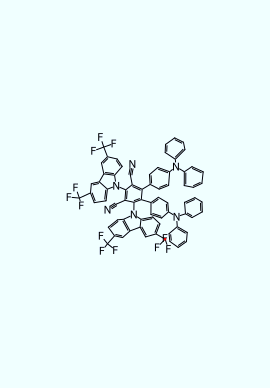 N#Cc1c(-c2ccc(N(c3ccccc3)c3ccccc3)cc2)c(-c2ccc(N(c3ccccc3)c3ccccc3)cc2)c(-n2c3ccc(C(F)(F)F)cc3c3cc(C(F)(F)F)ccc32)c(C#N)c1-n1c2ccc(C(F)(F)F)cc2c2cc(C(F)(F)F)ccc21